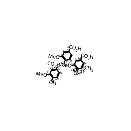 CCCCCC.COc1cc(C(=O)O)ccc1O.COc1cc(C(=O)O)ccc1O.COc1cc(C(=O)O)ccc1O